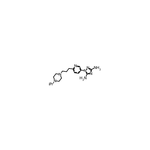 CC(C)N1CCN(CCCc2ccc(-n3nc(N)nc3N)cn2)CC1